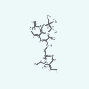 C=C(CNC1=NC(=C/C)/C(=N\C(=C)Cl)N([C@@H](C)C(F)(F)F)C1=O)/N=C\C(=C/C)S(=O)(=O)CC